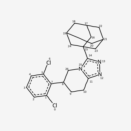 Clc1cccc(Cl)c1C1CCc2nnc(C34CC5CC(CC(C5)C3)C4)n2C1